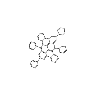 c1ccc(-c2cc3c4ccccc4c4c5c3c(c2)n(-c2ccccc2)c2c-5c3c(cc(-c5ccccc5)cc3n4-c3ccccc3)c3ccccc32)cc1